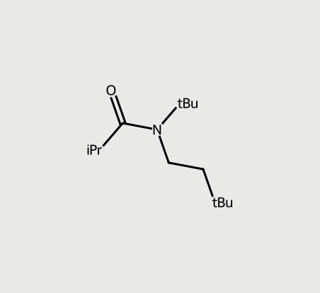 CC(C)C(=O)N(CCC(C)(C)C)C(C)(C)C